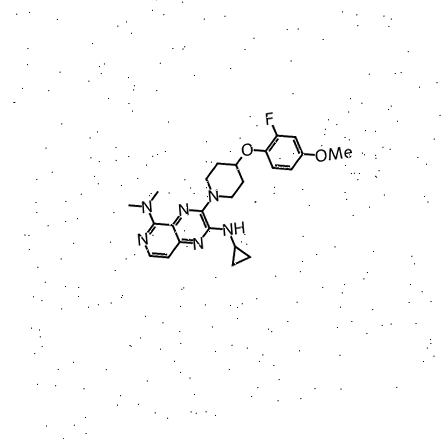 COc1ccc(OC2CCN(c3nc4c(N(C)C)nccc4nc3NC3CC3)CC2)c(F)c1